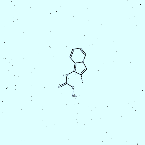 CCCCOC(=O)Nc1c(C)cn2ccccc12